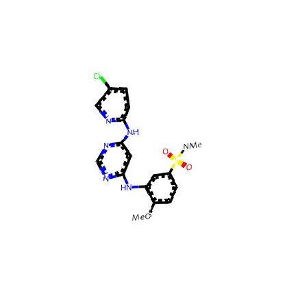 CNS(=O)(=O)c1ccc(OC)c(Nc2cc(Nc3ccc(Cl)cn3)ncn2)c1